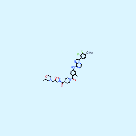 COc1ccc(-c2cnc3c(Nc4ccc(C(=O)N5CCC(C(=O)NCC(O)CN6CCOC(C)C6)CC5)c(C)c4)nccn23)c(F)c1F